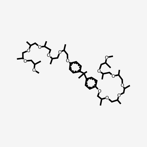 COC(C)COC(C)COC(C)COC(C)COC(C)COC(C)COc1ccc(C(C)(C)c2ccc(OCC(C)OCC(C)OCC(C)OCC(C)OCC(C)OCC(C)OC)cc2)cc1